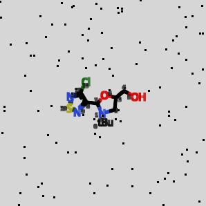 CC(C)(C)N1CC(CO)OC1c1nsnc1Cl